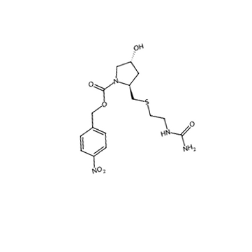 NC(=O)NCCSC[C@@H]1C[C@@H](O)CN1C(=O)OCc1ccc([N+](=O)[O-])cc1